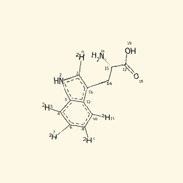 [2H]c1[nH]c2c([2H])c([2H])c([2H])c([2H])c2c1C[C@H](N)C(=O)O